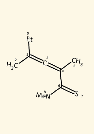 CCC(C)=C=C(C)C(=S)NC